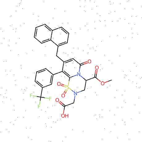 COC(=O)C1CN(CC(=O)O)S(=O)(=O)c2c(-c3cccc(C(F)(F)F)c3)c(Cc3cccc4ccccc34)cc(=O)n21